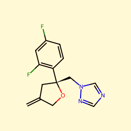 C=C1CO[C@@](Cn2cncn2)(c2ccc(F)cc2F)C1